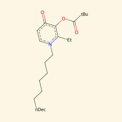 CCCCCCCCCCCCCCCCn1ccc(=O)c(OC(=O)C(C)(C)C)c1CC